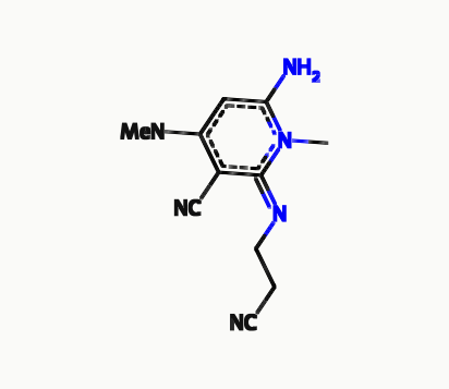 CNc1cc(N)n(C)c(=NCCC#N)c1C#N